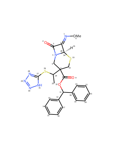 CON=C1C(=O)N2CC(C(=O)OC(c3ccccc3)c3ccccc3)(C(C)Sc3nnn[nH]3)CS[C@H]12